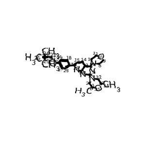 CC1CN(c2nc(N3CCOCC3)c3ccc(-c4ccc(OCC(C)(C)C)cc4)nc3n2)CC(C)O1